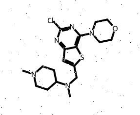 CN1CCC(N(C)Cc2cc3nc(Cl)nc(N4CCOCC4)c3s2)CC1